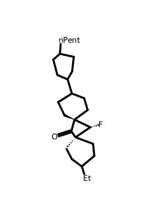 CCCCCC1CCC(C2CC[C@]3(CC2)C(=O)[C@@]2(CCC(CC)CC2)[C@H]3F)CC1